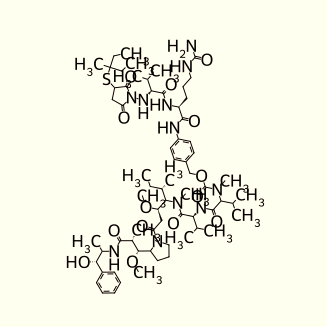 CC[C@H](C)C([C@@H](CC(=O)N1CCCC1[C@H](OC)[C@@H](C)C(=O)NC(C)[C@@H](O)c1ccccc1)OC)N(C)C(=O)[C@@H](NC(=O)C(C(C)C)N(C)C(=O)OCc1ccc(NC(=O)[C@H](CCCNC(N)=O)NC(=O)[C@@H](NN2C(=O)CC(SC(C)(CC)CC)C2=O)C(C)C)cc1)C(C)C